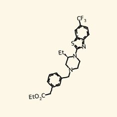 CCOC(=O)Cc1cccc(CN2CCN(c3nc4ccc(C(F)(F)F)cc4s3)[C@H](CC)C2)c1